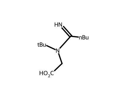 CCCCC(=N)N(CC(=O)O)C(C)(C)C